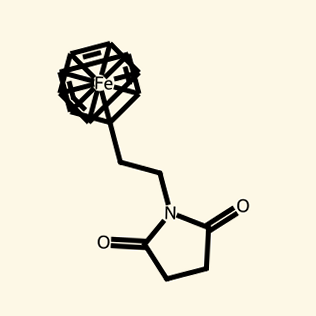 O=C1CCC(=O)N1CC[C]12[C]3=[C]4[C]5=[C]1[Fe]45321678[C]2=[C]1[CH]6[C]7=[C]28